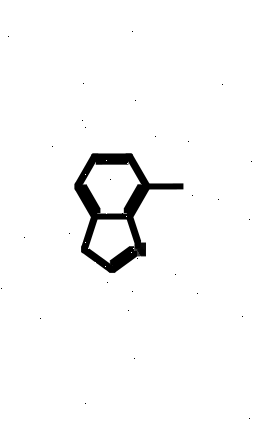 Cc1cccc2c1N=CC2